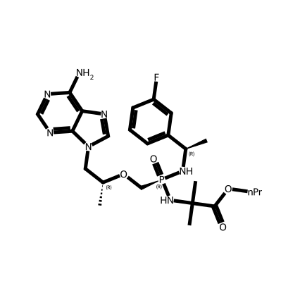 CCCOC(=O)C(C)(C)N[P@@](=O)(CO[C@H](C)Cn1cnc2c(N)ncnc21)N[C@H](C)c1cccc(F)c1